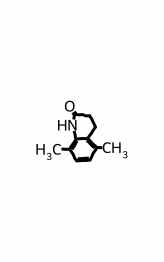 Cc1ccc(C)c2c1CCC(=O)N2